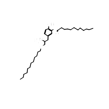 CCCCCCCCCCCCOC(=O)C(N)Cc1ccc(O)c(OC(=O)CCCCCCCCCCC)c1